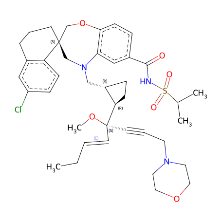 CC/C=C/[C@@](C#CCN1CCOCC1)(OC)[C@@H]1CC[C@H]1CN1C[C@@]2(CCCc3cc(Cl)ccc32)COc2ccc(C(=O)NS(=O)(=O)C(C)C)cc21